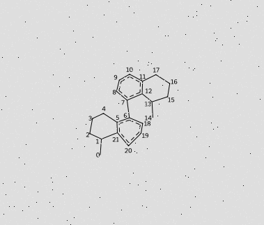 CC1CCCc2c(-c3cccc4c3C(C)CCC4)cccc21